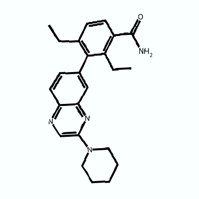 CCc1ccc(C(N)=O)c(CC)c1-c1ccc2ncc(N3CCCCC3)nc2c1